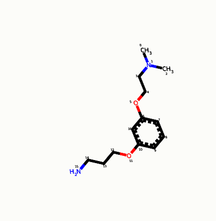 CN(C)CCOc1cccc(OCCCN)c1